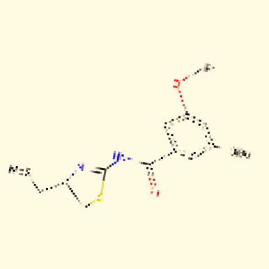 CSCC1CSC(NC(=O)c2cc(OCC(C)C)cc(OC(C)C)c2)=N1